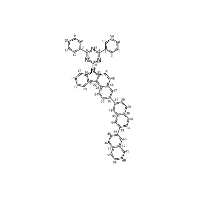 c1ccc(-c2nc(-c3ccccc3)nc(-n3c4ccccc4c4c5ccc(-c6ccc7ccc(-c8ccc9ccccc9c8)cc7c6)cc5ccc43)n2)cc1